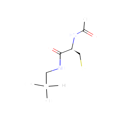 CC(=O)N[C@@H](CS)C(=O)NC[Si](C)(C)C